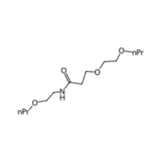 CCCOCCNC(=O)CCOCCOCCC